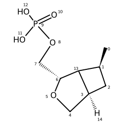 C[C@H]1C[C@H]2CO[C@H](COP(=O)(O)O)C21